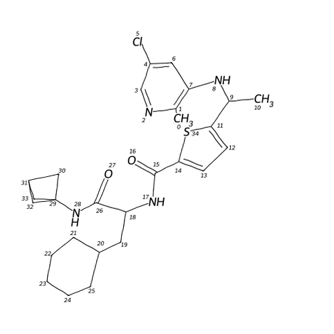 Cc1ncc(Cl)cc1NC(C)c1ccc(C(=O)NC(CC2CCCCC2)C(=O)NC23CC(C2)C3)s1